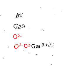 [Ga+3].[Ga+3].[In].[In].[O-2].[O-2].[O-2]